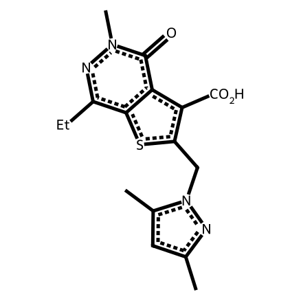 CCc1nn(C)c(=O)c2c(C(=O)O)c(Cn3nc(C)cc3C)sc12